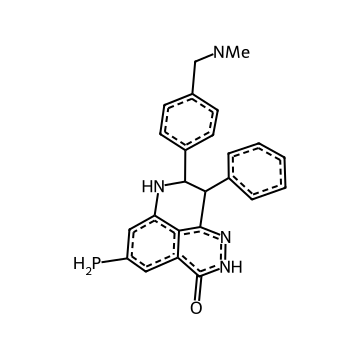 CNCc1ccc(C2Nc3cc(P)cc4c(=O)[nH]nc(c34)C2c2ccccc2)cc1